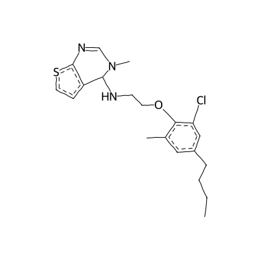 CCCCc1cc(C)c(OCCNC2c3ccsc3N=CN2C)c(Cl)c1